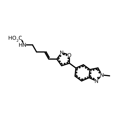 Cn1cc2cc(-c3cc(C=CCCNC(=O)O)no3)ccc2n1